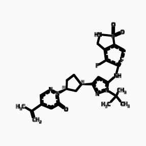 C=C(C)c1cnn([C@H]2CC[C@@H](c3cc(Nc4ccc5c(c4F)CNS5(=O)=O)n(C(C)(C)C)n3)C2)c(=O)c1